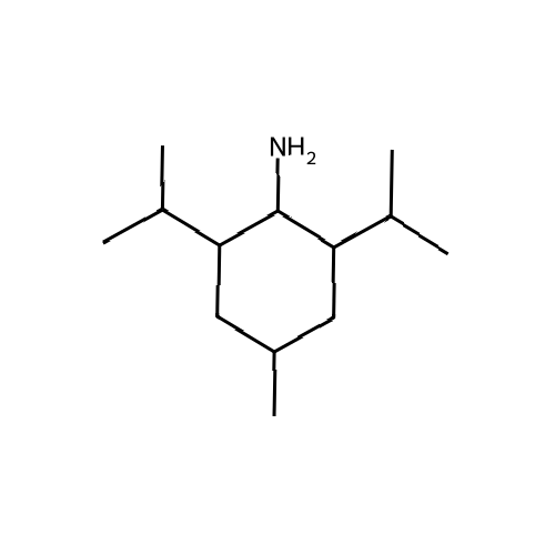 CC1CC(C(C)C)C(N)C(C(C)C)C1